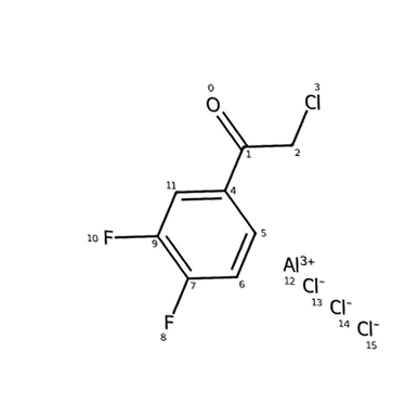 O=C(CCl)c1ccc(F)c(F)c1.[Al+3].[Cl-].[Cl-].[Cl-]